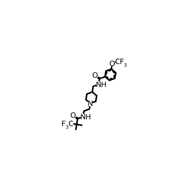 CC(C)(C(=O)NCCN1CCC(CNC(=O)c2cccc(OC(F)(F)F)c2)CC1)C(F)(F)F